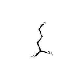 [CH2]CCC(C)CCCCl